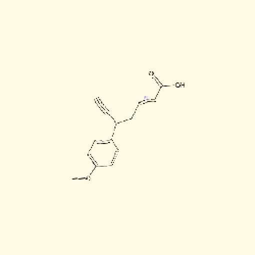 C#CC(C/C=C/C(=O)O)c1ccc(OC)cc1